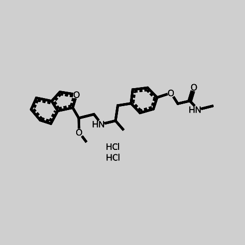 CNC(=O)COc1ccc(CC(C)NCC(OC)c2occ3ccccc23)cc1.Cl.Cl